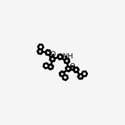 c1cc2c(c(-c3ccc4oc5c(-c6ccc7[nH]c8ccc(-c9cc(-c%10cccc%11c%10CCCC%11)cc%10c9oc9ccc(-c%11cccc%12c%11CCCC%12)cc9%10)cc8c7c6)cc(-c6cccc7c6CCCC7)cc5c4c3)c1)CCCC2